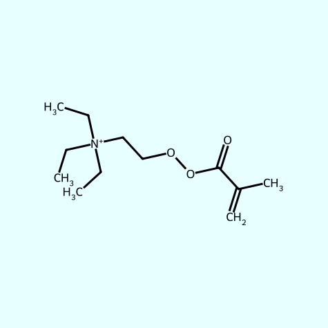 C=C(C)C(=O)OOCC[N+](CC)(CC)CC